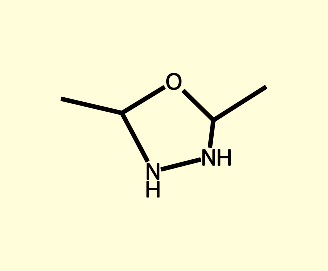 CC1NNC(C)O1